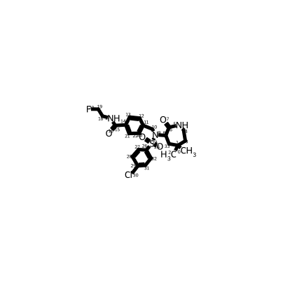 CC1(C)CCNC(=O)C(N(Cc2ccc(C(=O)NCCF)cc2)S(=O)(=O)c2ccc(Cl)cc2)C1